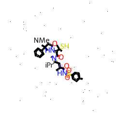 CN[C@H](C(=O)N[C@H](C(=O)N(C)[C@H](/C=C(\C)C(=O)NS(=O)(=O)c1ccc(C)cc1)C(C)C)C(C)(C)S)C(C)(C)c1ccccc1